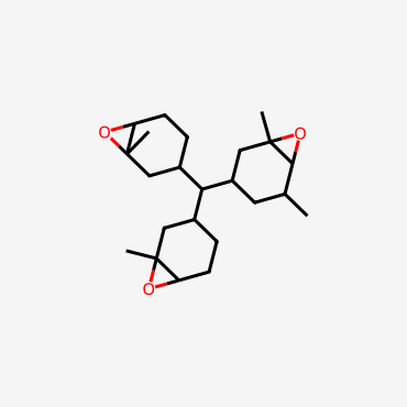 CC1CC(C(C2CCC3OC3(C)C2)C2CCC3OC3(C)C2)CC2(C)OC12